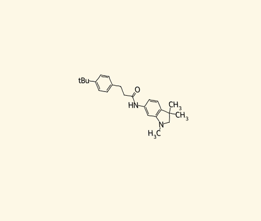 CN1CC(C)(C)c2ccc(NC(=O)CCc3ccc(C(C)(C)C)cc3)cc21